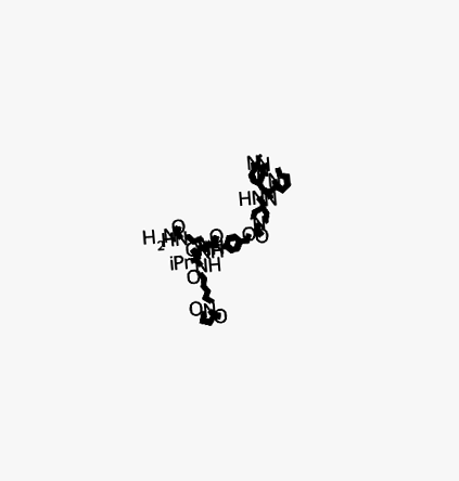 Cc1cccc(-c2nc(C3CCN(C(=O)OCc4ccc(NC(=O)[C@H](CCCNC(N)=O)NC(=O)C(NC(=O)CCCCCN5C(=O)C=CC5=O)C(C)C)cc4)CC3)[nH]c2-c2ccc3ncnn3c2)n1